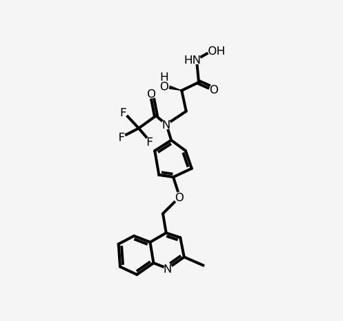 Cc1cc(COc2ccc(N(C[C@@H](O)C(=O)NO)C(=O)C(F)(F)F)cc2)c2ccccc2n1